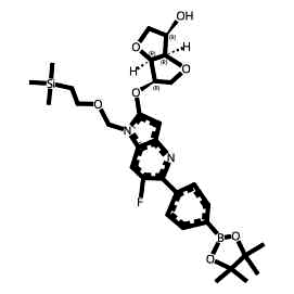 CC1(C)OB(c2ccc(-c3nc4cc(O[C@@H]5CO[C@H]6[C@@H]5OC[C@H]6O)n(COCC[Si](C)(C)C)c4cc3F)cc2)OC1(C)C